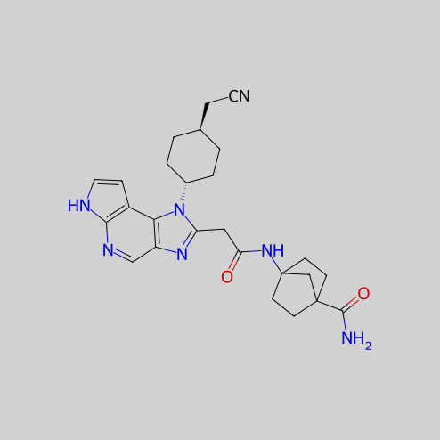 N#CC[C@H]1CC[C@H](n2c(CC(=O)NC34CCC(C(N)=O)(CC3)C4)nc3cnc4[nH]ccc4c32)CC1